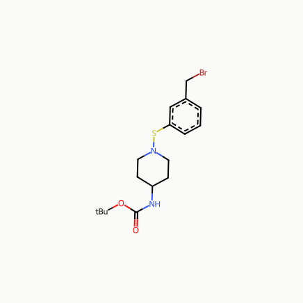 CC(C)(C)OC(=O)NC1CCN(Sc2cccc(CBr)c2)CC1